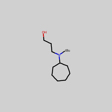 CC(C)(C)N(CCCO)C1CCCCCC1